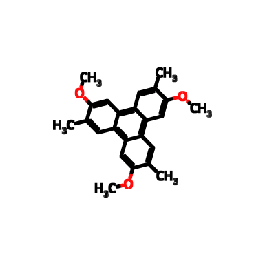 COc1cc2c(cc1C)c1cc(OC)c(C)cc1c1cc(OC)c(C)cc21